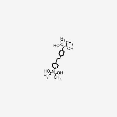 CC(O)N(c1ccc(C=Cc2ccc(N(C(C)O)C(C)O)cc2)cc1)C(C)O